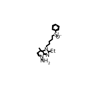 CCC1N=C2C(=C(C)C=CN2N)N1CCCCC[S+]([O-])c1ccccc1